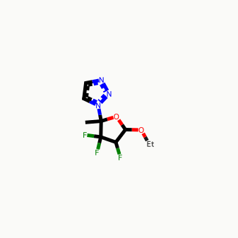 CCOC1OC(C)(n2ccnn2)C(F)(F)C1F